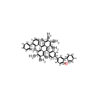 Bc1c(B)c(B)c2c(-c3cccc(-c4ccccc4)c3)c3c(B)c(B)c(B)c(B)c3c(-c3ccc(-c4ccc5oc6ccccc6c5c4)cc3)c2c1B